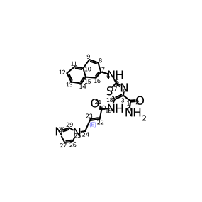 NC(=O)c1nc(Nc2ccc3ccccc3c2)sc1NC(=O)/C=C/Cn1ccnc1